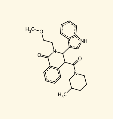 COCCN1C(=O)c2ccccc2C(C(=O)N2CCCC(C)C2)C1c1c[nH]c2ccccc12